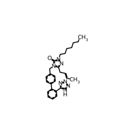 CC=CCc1nn(CCCCCCC)c(=O)n1Cc1ccc(-c2ccccc2-c2nnn[nH]2)cc1